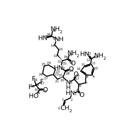 C=CCNC(=O)C(Cc1ccc(C(=N)N)cc1)C(=O)N[C@@H](CC1CCCCC1)C(=O)N[C@@H](CCCNC(=N)N)C(N)=O.O=C(O)C(F)(F)F